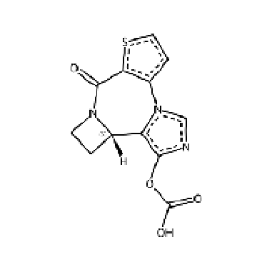 O=C(O)Oc1ncn2c1[C@@H]1CCN1C(=O)c1sccc1-2